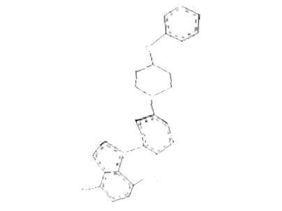 Cc1ccc(F)c2ccn(-c3cccc(N4CCC(Nc5cccnc5)CC4)c3)c12